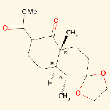 COC(=O)C1CC[C@@H]2[C@@H](C)C3(CC[C@@]2(C)C1=O)OCCO3